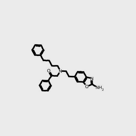 Nc1nc2ccc(CCN(CCCCc3ccccc3)CC(=O)c3ccccc3)cc2o1